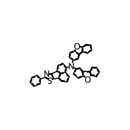 c1ccc(-c2nc3c(s2)-c2cccc4c(N(c5ccc6oc7ccccc7c6c5)c5ccc6oc7ccccc7c6c5)ccc-3c24)cc1